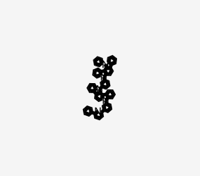 c1ccc(-c2cccc(-c3cccc(-n4c5ccccc5c5c4ccc4c6ccccc6n(-c6cccc(-n7c8ccccc8c8c7ccc7c9ccccc9n(-c9ccccc9)c78)c6)c45)c3)n2)cc1